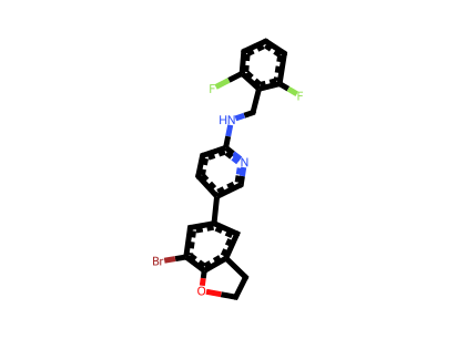 Fc1cccc(F)c1CNc1ccc(-c2cc(Br)c3c(c2)CCO3)cn1